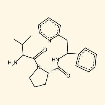 CC(C)C(N)C(=O)N1CCC[C@H]1C(=O)NC(Cc1ccccn1)c1ccccc1